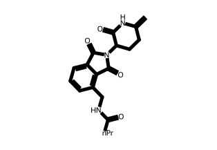 C=C1CCC(N2C(=O)c3cccc(CNC(=O)CCC)c3C2=O)C(=O)N1